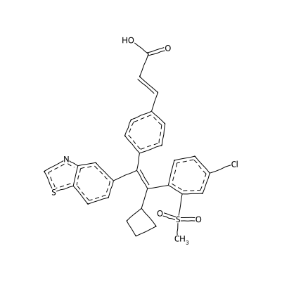 CS(=O)(=O)c1cc(Cl)ccc1/C(=C(\c1ccc(/C=C/C(=O)O)cc1)c1ccc2scnc2c1)C1CCC1